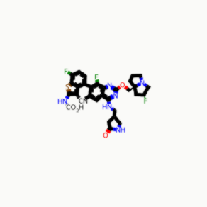 Cc1cc2c(NCC3CNC(=O)C3)nc(OC[C@@]34CCCN3C[C@H](F)C4)nc2c(F)c1-c1ccc(F)c2sc(NC(=O)O)c(C#N)c12